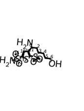 NC1CC(CCCO)S(=O)(=O)c2sc(S(N)(=O)=O)cc21